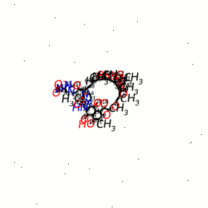 CO[C@H]1/C=C/O[C@@]2(C)Oc3c(C)c(O)c4c(c3C2=O)C(=O)C(N2CCN(/C=C3\Cn5cc([N+](=O)[O-])nc5O3)CC2)=C(NC(=O)/C(C)=C\C=C\[C@H](C)[C@H](O)[C@@H](C)[C@@H](O)[C@@H](C)[C@H](OC(C)=O)[C@@H]1C)C4=O